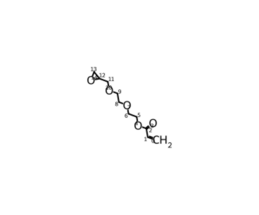 C=CC(=O)OCCOCCOCC1CO1